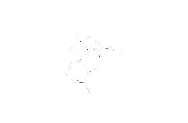 Cc1cccc(N(C(F)(Cl)Cl)S(N)(=O)=S)c1C